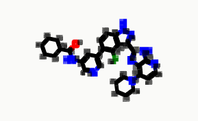 O=C(Nc1cncc(-c2ccc3[nH]nc(-c4nc5c(N6CCCCC6)ccnc5[nH]4)c3c2F)c1)C1CCCCC1